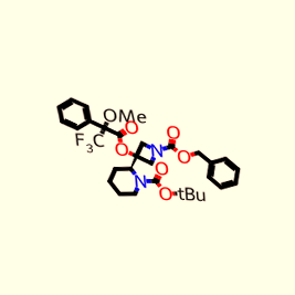 COC(C(=O)OC1([C@@H]2CCCCN2C(=O)OC(C)(C)C)CN(C(=O)OCc2ccccc2)C1)(c1ccccc1)C(F)(F)F